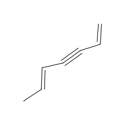 C=CC#CC=CC